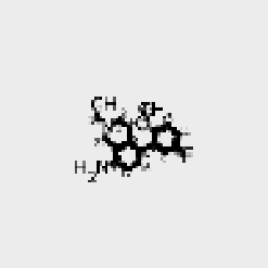 CCN1CCc2c(-c3cc(F)ccc3OC)ccc(N)c2C1